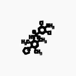 Cc1cc(C)c(N2CCCC2)c(C)c1NS(=O)(=O)c1cc(Cl)c(N)c(Cl)c1